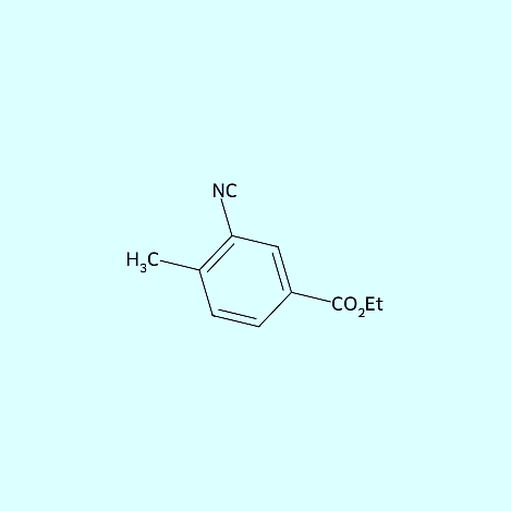 [C-]#[N+]c1cc(C(=O)OCC)ccc1C